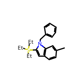 CCS(CC)(CC)c1cc2ccc(C)cc2n1Cc1ccccc1